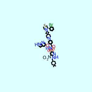 CC1(C)CCC(CNc2ncc(S(=O)(=O)NC(=O)c3ccc(N4CCC5(CC4)CC(N4CCSC[C@H]4c4ccccc4Br)C5)cc3Oc3cnc4[nH]ccc4c3)cc2[N+](=O)[O-])CC1